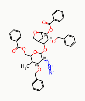 CC1C(COC(=O)c2ccccc2)OC(OC2C3COC(C3)[C@@H](OC(=O)c3ccccc3)[C@@H]2OCc2ccccc2)[C@@H](N=[N+]=[N-])[C@@H]1OCc1ccccc1